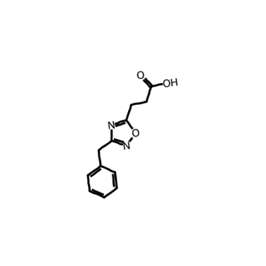 O=C(O)CCc1nc(Cc2ccccc2)no1